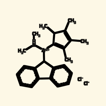 CC1=C(C)C(C)[C]([Zr+2]([CH]2c3ccccc3-c3ccccc32)[SiH](C)C)=C1C.[Cl-].[Cl-]